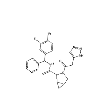 CC(C)c1ccc(C(NC(=O)C2C3CC3CN2C(=O)Cc2cnn[nH]2)c2ccccc2)cc1F